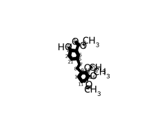 COC(=O)c1cc(CCc2ccc(OC)c(OC)c2OC)ccc1O